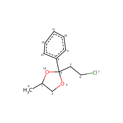 CC1COC(CCCl)(c2ccccc2)O1